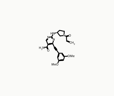 C=CC(=O)N1CC[C@H](Nc2ncc(C(N)=O)c(C#Cc3cc(OC)cc(OC)c3)n2)C1